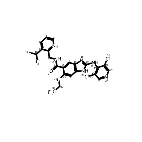 O=C(NCc1ncccc1C(F)F)c1cc2nc(Nc3c(Cl)cncc3Cl)[nH]c2cc1OCC(F)(F)F